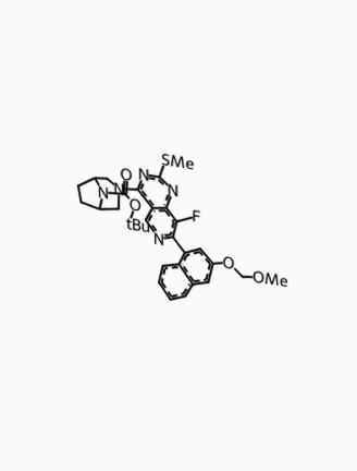 COCOc1cc(-c2ncc3c(N4CC5CCC(C4)N5C(=O)OC(C)(C)C)nc(SC)nc3c2F)c2ccccc2c1